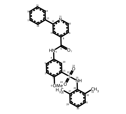 COc1ccc(NC(=O)c2ccnc(-c3ccccc3)c2)cc1S(=O)(=O)Nc1c(C)cccc1C